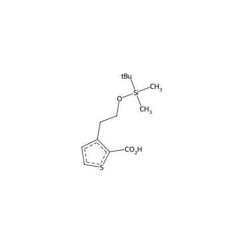 CC(C)(C)[Si](C)(C)OCCc1ccsc1C(=O)O